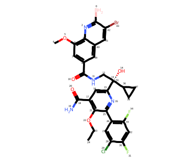 Bc1nc2c(OC)cc(C(=O)NC[C@](O)(c3cc(C(N)=O)c(OCC)c(-c4cc(Cl)c(F)cc4F)n3)C3CC3)cc2cc1Br